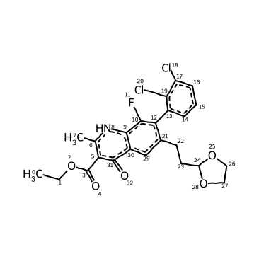 CCOC(=O)c1c(C)[nH]c2c(F)c(-c3cccc(Cl)c3Cl)c(CCC3OCCO3)cc2c1=O